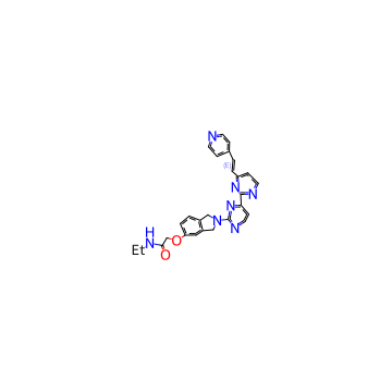 CCNC(=O)COc1ccc2c(c1)CN(c1nccc(-c3nccc(/C=C/c4ccncc4)n3)n1)C2